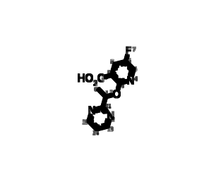 CC(Oc1ncc(F)cc1C(=O)O)c1ncccn1